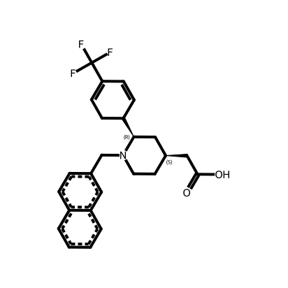 O=C(O)C[C@H]1CCN(Cc2ccc3ccccc3c2)[C@@H](C2C=CC(C(F)(F)F)=CC2)C1